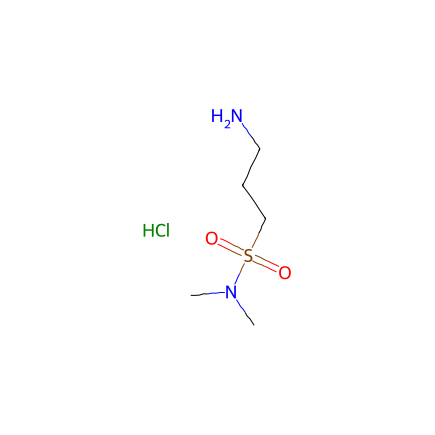 CN(C)S(=O)(=O)CCCN.Cl